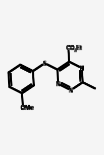 CCOC(=O)c1nc(C)nnc1Sc1cccc(OC)c1